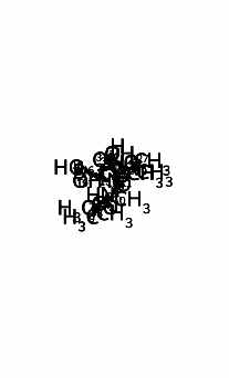 C[C@H](NC(=O)OC(C)(C)C)C(=O)N1C[C@H](CCB(O)O)C[C@@](NC(=O)OC(C)(C)C)(C(=O)O)C1